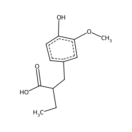 CCC(Cc1ccc(O)c(OC)c1)C(=O)O